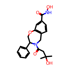 CC(C)(O)CC(=O)N1Cc2ccc(C(=O)NO)cc2OCC1c1ccccc1